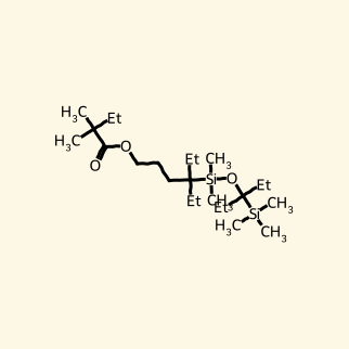 CCC(C)(C)C(=O)OCCCC(CC)(CC)[Si](C)(C)OC(CC)(CC)[Si](C)(C)C